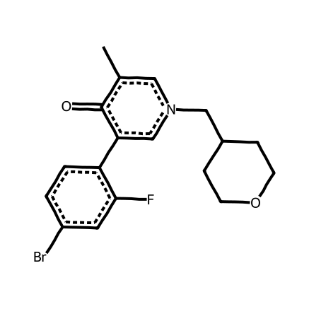 Cc1cn(CC2CCOCC2)cc(-c2ccc(Br)cc2F)c1=O